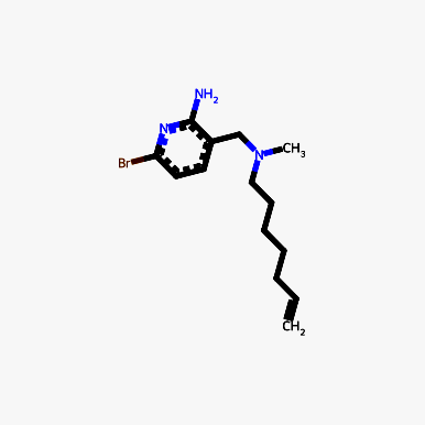 C=CCCCCCN(C)Cc1ccc(Br)nc1N